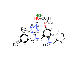 CCN(CC1CCCCC1)c1ccc(OC(F)(F)F)cc1CN(Cc1cc([N+](=O)[O-])cc(C(F)(F)F)c1)c1nnn(C)n1.Cl.O=C(O)O